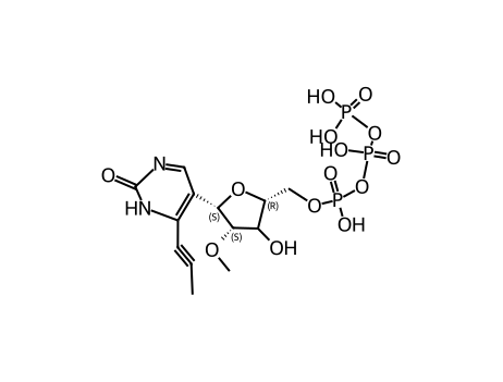 CC#Cc1[nH]c(=O)ncc1[C@@H]1O[C@H](COP(=O)(O)OP(=O)(O)OP(=O)(O)O)C(O)[C@@H]1OC